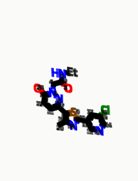 CCNC(=O)Cn1nc(-c2sc(-c3cncc(Cl)c3)nc2C)ccc1=O